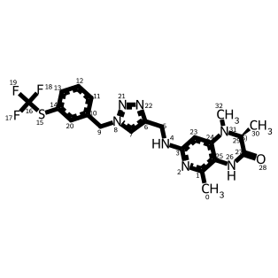 Cc1nc(NCc2cn(Cc3cccc(SC(F)(F)F)c3)nn2)cc2c1NC(=O)[C@H](C)N2C